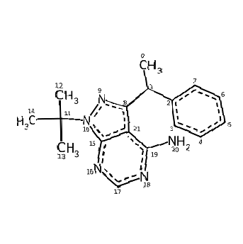 CC(c1ccccc1)c1nn(C(C)(C)C)c2ncnc(N)c12